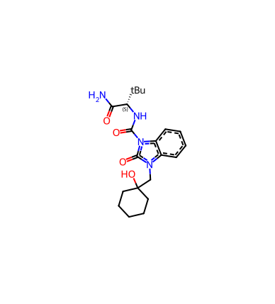 CC(C)(C)[C@H](NC(=O)n1c(=O)n(CC2(O)CCCCC2)c2ccccc21)C(N)=O